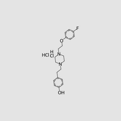 Cl.Cl.Oc1ccc(CCN2CCN(CCOc3ccc(F)cc3)CC2)cc1